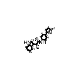 Cn1ccc(-c2ccc(NC(=O)C(=O)c3c[nH]c4ccccc34)cc2)n1